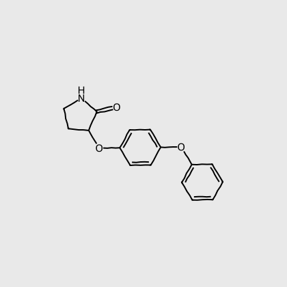 O=C1NCCC1Oc1ccc(Oc2ccccc2)cc1